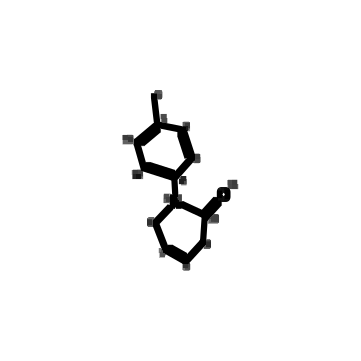 Cc1ccc(N2CC=CCC2=O)cc1